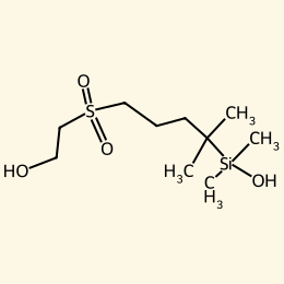 CC(C)(CCCS(=O)(=O)CCO)[Si](C)(C)O